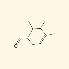 CC1=CCC(C=O)C(C)C1C